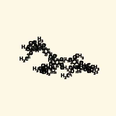 C=CCOC(=O)Nc1cc(OCCCOc2cc(NC(=O)OCc3ccc(NC(=O)[C@H](C)NC(=O)[C@@H](NC(=O)OCC=C)C(C)C)cc3)c(C(=O)N3CCC[C@H]3CO[Si](C)(C)C(C)(C)C)cc2OC)c(OC)cc1C(=O)N1CCC[C@H]1CO[Si](C)(C)C(C)(C)C